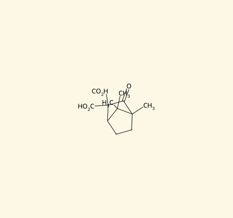 CC12CCC(C(C(=O)O)(C(=O)O)C1=O)C2(C)C